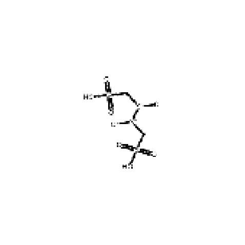 O=S(=O)(O)C[S+]([O-])[S+]([O-])CS(=O)(=O)O